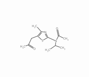 CC(=O)Cc1sc(N(C(C)=O)C(C)C)nc1C